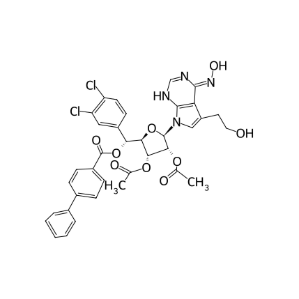 CC(=O)O[C@H]1[C@@H](OC(C)=O)[C@H](n2cc(CCO)c3/c(=N/O)nc[nH]c32)O[C@@H]1[C@H](OC(=O)c1ccc(-c2ccccc2)cc1)c1ccc(Cl)c(Cl)c1